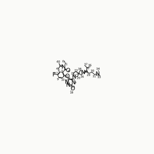 CCN(C(=O)c1cc(F)ccc1Oc1nnc(OC)nc1N1CCC2(C1)CN([C@H](CCCN(C)C)C(C)C)C2)C(C)C